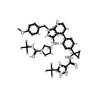 COc1ccc(Cn2nc(N[C@@H]3CCN(C(=O)OC(C)(C)C)C3)c3c(-c4ccc(C5(NC(=O)c6noc(C(C)(C)C)n6)CC5)cc4)ccnc32)cc1